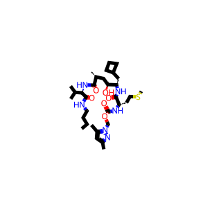 CCCCNC(=O)[C@@H](NC(=O)[C@H](C)C[C@H](O)[C@H](CC1CCC1)NC(=O)[C@H](CCSC)NC(=O)OCn1nc(C)cc1C)C(C)C